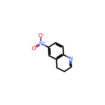 O=[N+]([O-])c1ccc2c(c1)CCC=N2